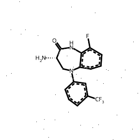 N[C@H]1CN(c2cccc(C(F)(F)F)c2)c2cccc(F)c2NC1=O